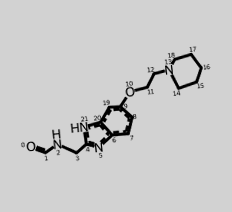 O=CNCc1nc2ccc(OCCN3CCCCC3)cc2[nH]1